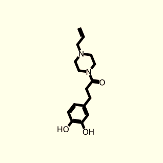 C=CCN1CCN(C(=O)CCc2ccc(O)c(O)c2)CC1